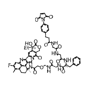 CC[C@@]1(O)C(=O)OCc2c1cc1n(c2=O)Cc2c-1nc1cc(F)c(C)c3c1c2[C@@](C)(NC(=O)COCNC(=O)CNC(=O)[C@H](Cc1ccccc1)NC(=O)CNC(=O)CNC(=O)CCc1ccc(N2C(=O)C=CC2=O)cc1)CC3